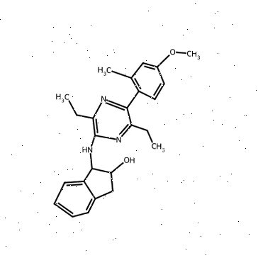 CCc1nc(-c2ccc(OC)cc2C)c(CC)nc1NC1c2ccccc2CC1O